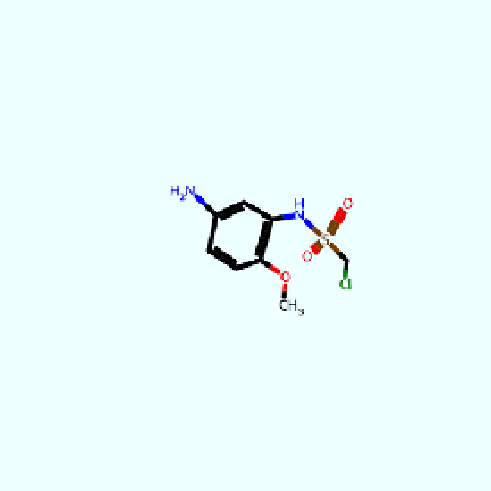 COc1ccc(N)cc1NS(=O)(=O)CCl